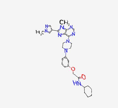 Cn1cc(-c2nc3c(N4CCN(c5cccc(OCC(=O)NC6CCCCC6)c5)CC4)ncnc3n2C)cn1